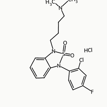 CN(C)CCCCN1c2ccccc2N(c2ccc(F)cc2Cl)S1(=O)=O.Cl